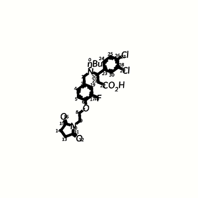 CCCCN(Cc1ccc(OCCN2C(=O)CCC2=O)c(F)c1)C(CC(=O)O)c1ccc(Cl)c(Cl)c1